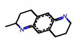 CC1CCc2cc3c(cc2=N1)CCCN=3